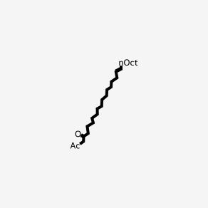 CCCCCCCCC=CCCCCCCCCCCCCCC(=O)CC(C)=O